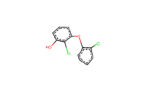 Oc1cccc(Oc2ccccc2Cl)c1Cl